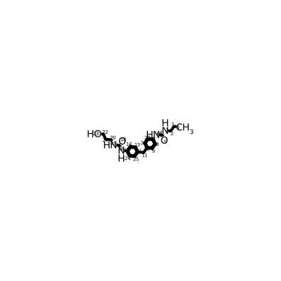 CCCNC(=O)Nc1ccc(Cc2ccc(NC(=O)NCCCO)cc2)cc1